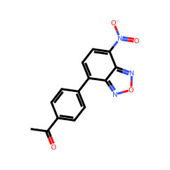 CC(=O)c1ccc(-c2ccc([N+](=O)[O-])c3nonc23)cc1